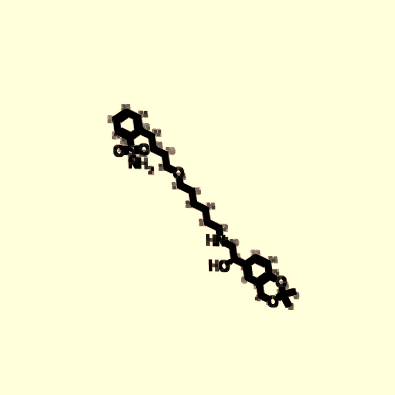 CC1(C)OCc2cc([C@@H](O)CNCCCCCCOCCCCc3ccccc3S(N)(=O)=O)ccc2O1